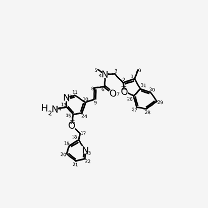 Cc1c(CN(C)C(=O)/C=C/c2cnc(N)c(OCc3ccccn3)c2)oc2ccccc12